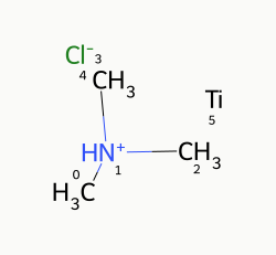 C[NH+](C)C.[Cl-].[Ti]